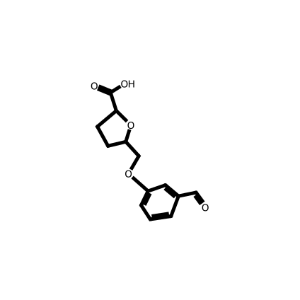 O=Cc1cccc(OCC2CCC(C(=O)O)O2)c1